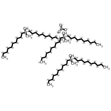 CCCCCCCCCC[N+](C)(C)CCCCCCCCCC.CCCCCCCCCC[N+](C)(C)CCCCCCCCCC.CCCCCCCCCC[N+](C)(C)CCCCCCCCCC.[O-]B([O-])[O-]